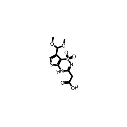 COC(OC)c1csc2c1S(=O)(=O)N=C(CC(=O)O)N2